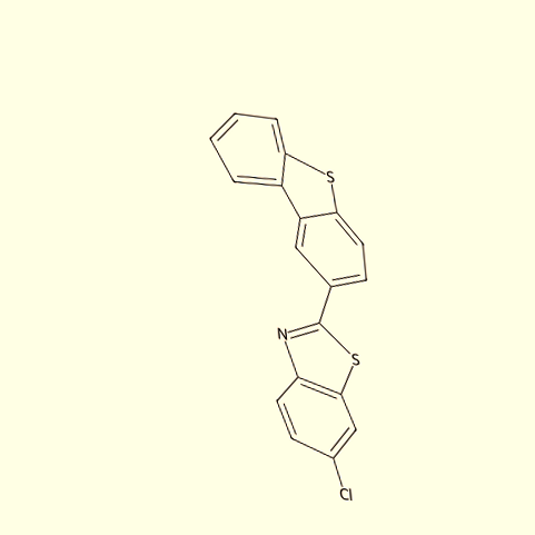 Clc1ccc2nc(-c3ccc4sc5ccccc5c4c3)sc2c1